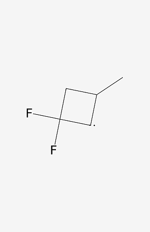 CC1[CH]C(F)(F)C1